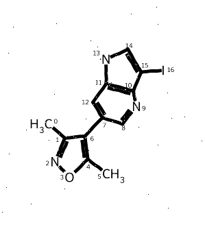 Cc1noc(C)c1-c1cnc2c(c1)[N]C=C2I